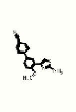 COc1ccc(-c2ccc(C#N)cc2)cc1-c1csc(N)n1